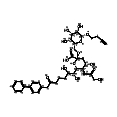 C#CCCO[C@@H]1O[C@H](CO[C@@]2(C(=O)O)C[C@H](O)[C@@H](NC(=O)CO)[C@H]([C@H](O)[C@H](O)CCCC(=O)Cc3ccc(-c4ccccc4)cc3)O2)[C@H](O)[C@H](O)[C@H]1O